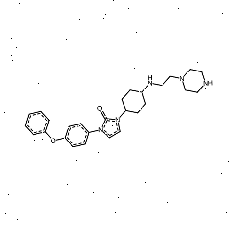 O=c1n(-c2ccc(Oc3ccccc3)cc2)ccn1C1CCC(NCCN2CCNCC2)CC1